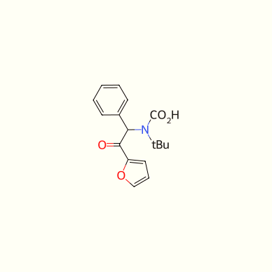 CC(C)(C)N(C(=O)O)C(C(=O)c1ccco1)c1ccccc1